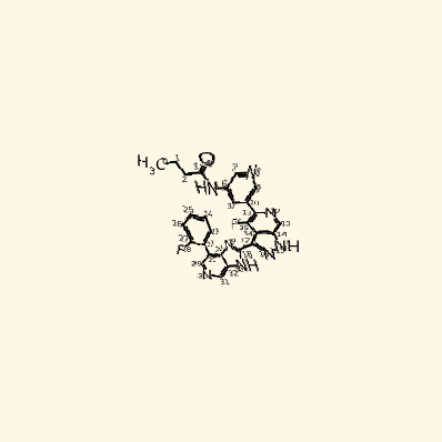 CCCC(=O)Nc1cncc(-c2ncc3[nH]nc(-c4nc5c(-c6ccccc6F)cncc5[nH]4)c3c2F)c1